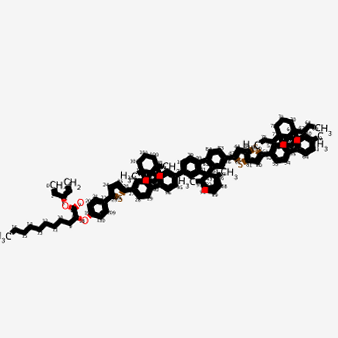 C=CC(C=C)OC(=O)C(CCCCCCCCC)Oc1ccc(-c2ccc(-c3ccc4c(c3)C3(c5cc(-c6ccc7c(c6)C6(c8cc(-c9cc%10sc(-c%11ccc%12c(c%11)C%11(c%13cc(C)ccc%13-%12)C%12(CCC)CCCC%11(CCC)CCC%12)cc%10s9)ccc8-7)C7(C)CCCC6(C)CC7)ccc5-4)C4(C)CCCC3(C)CCC4)s2)cc1